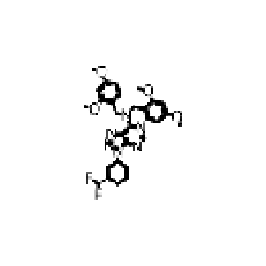 COc1ccc(CN(Cc2ccc(OC)cc2OC)c2ncnc3c2nnn3[C@H]2CCC[C@@H](C(F)F)C2)c(OC)c1